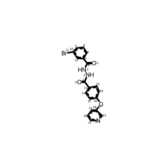 O=C(NNC(=O)c1cccc(Br)c1)c1ccc(Oc2cccnc2)cc1